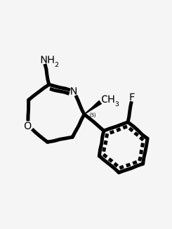 C[C@@]1(c2ccccc2F)CCOCC(N)=N1